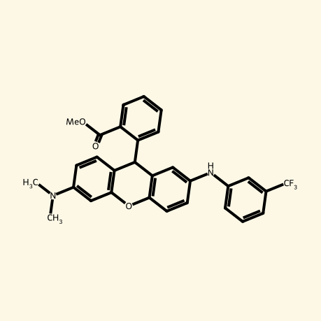 COC(=O)c1ccccc1C1c2ccc(N(C)C)cc2Oc2ccc(Nc3cccc(C(F)(F)F)c3)cc21